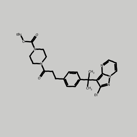 CCc1nn2cccnc2c1C(C)(C)c1ccc(CCC(=O)N2CCN(C(=O)OC(C)(C)C)CC2)cc1